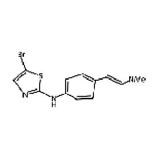 CNC=Cc1ccc(Nc2ncc(Br)s2)cc1